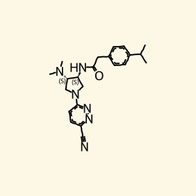 CC(C)c1ccc(CC(=O)N[C@H]2CN(c3ccc(C#N)nn3)C[C@@H]2N(C)C)cc1